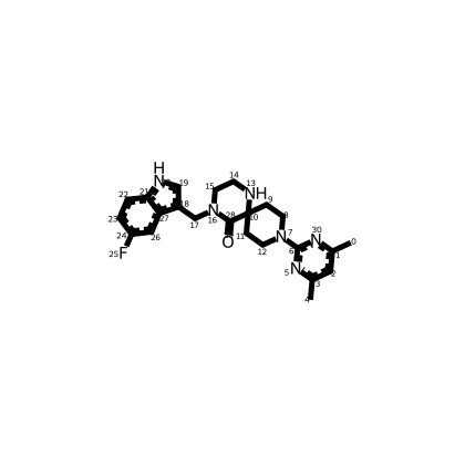 Cc1cc(C)nc(N2CCC3(CC2)NCCN(Cc2c[nH]c4ccc(F)cc24)C3=O)n1